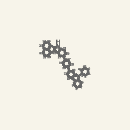 c1ccc(-n2c3ccccc3c3ccc(-c4ccc(-c5ccc6[nH]c7c(c6c5)-c5cccc6cccc-7c56)cc4)cc32)cc1